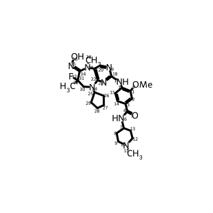 COc1cc(C(=O)NC2CCN(C)CC2)ccc1Nc1ncc2c(n1)N(C1CCCC1)CC(C)(F)C(=NO)N2C